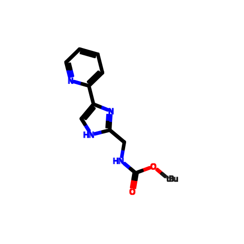 CC(C)(C)OC(=O)NCc1nc(-c2ccccn2)c[nH]1